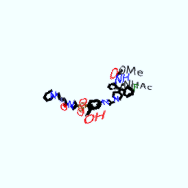 COC(=O)N[C@H]1CCC[C@@H]1[C@](CNC(C)=O)(c1cccc(F)c1)C1CCN(CC2CN(c3ccc(S(=O)(=O)C4CN(C(=O)/C=C/CN5CCCCC5)C4)c(CO)c3)C2)CC1